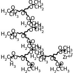 C=C(C)C(=O)OCCCC([O-])(CCCOC(=O)C(=C)C)CCCOC(=O)C(=C)C.C=C(C)C(=O)OCCCC([O-])(CCCOC(=O)C(=C)C)CCCOC(=O)C(=C)C.C=C(C)C(=O)OCCCC([O-])(CCCOC(=O)C(=C)C)CCCOC(=O)C(=C)C.C=C(C)C(=O)OCCCC([O-])(CCCOC(=O)C(=C)C)CCCOC(=O)C(=C)C.[Zr+4]